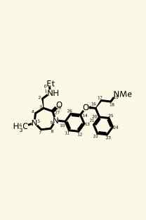 CCNC[C@@H]1CN(C)CCN(c2cccc(O[C@@H](CCNC)c3ccccc3)c2)C1=O